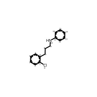 Clc1ccccc1CCCNc1cc[c]cc1